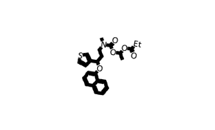 CCC(=O)OC(C)OC(=O)N(C)CCC(Oc1cccc2ccccc12)c1ccsc1